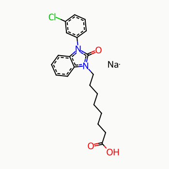 O=C(O)CCCCCCCn1c(=O)n(-c2cccc(Cl)c2)c2ccccc21.[Na]